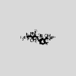 CC(C)NC(=O)c1c(F)ccc(NC(=O)c2c(C(F)(F)F)c(C(F)(F)C(F)(F)F)nn2C)c1F